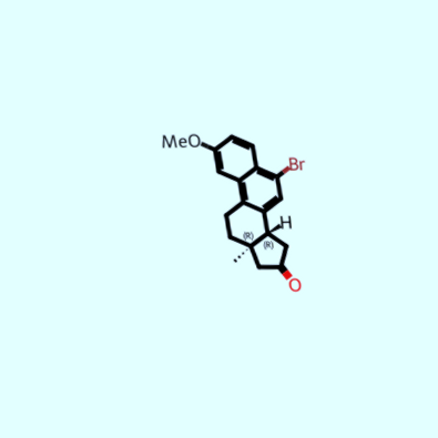 COc1ccc2c(Br)cc3c(c2c1)CC[C@]1(C)CC(=O)C[C@@H]31